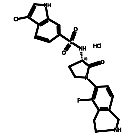 Cl.O=C1[C@@H](NS(=O)(=O)c2ccc3c(Cl)c[nH]c3c2)CCN1c1ccc2c(c1F)CCNC2